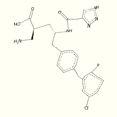 NC[C@H](C[C@@H](Cc1ccc(-c2cc(Cl)ccc2F)cc1)NC(=O)c1c[nH]nn1)C(=O)O